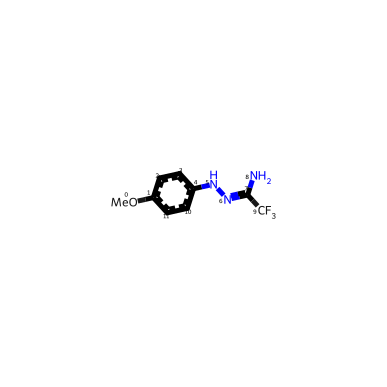 COc1ccc(N/N=C(\N)C(F)(F)F)cc1